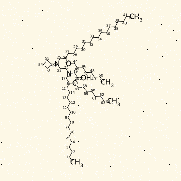 CCCCCCCCCCCCCCCCC(CN(CCO)CCN(CC(CCCCCCCCCCCCCCCC)OCCCCCCCC)C1CCC1)OCCCCCCCC